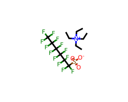 CC[N+](CC)(CC)CC.O=S(=O)([O-])C(F)(F)C(F)(F)C(F)(F)C(F)(F)C(F)(F)C(F)(F)F